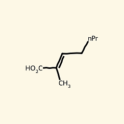 [CH2]CCCC=C(C)C(=O)O